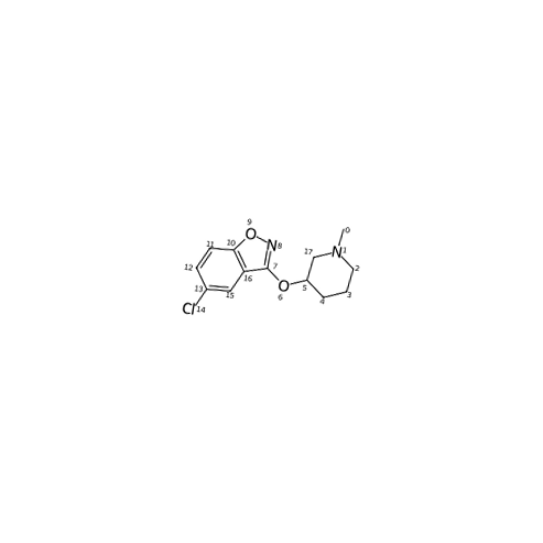 CN1CCCC(Oc2noc3ccc(Cl)cc23)C1